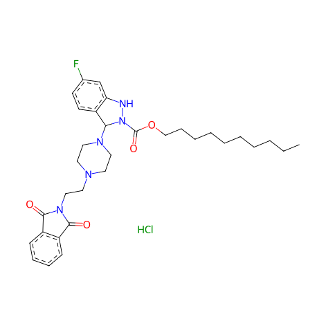 CCCCCCCCCCOC(=O)N1Nc2cc(F)ccc2C1N1CCN(CCN2C(=O)c3ccccc3C2=O)CC1.Cl